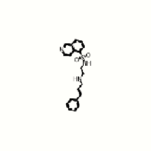 O=S(=O)(NCCNC/C=C/c1ccccc1)c1cccc2cnccc12